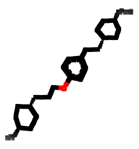 CCCCC[C@H]1CC[C@H](CCc2ccc(OCCC[C@H]3CC[C@H](CCC)CC3)cc2)CC1